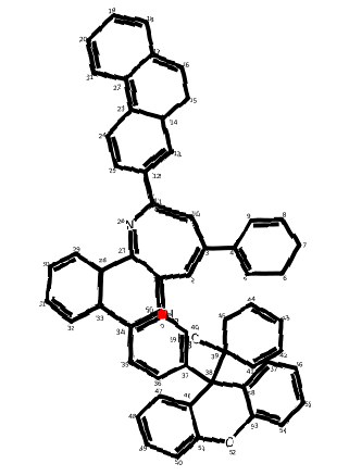 C=C1C=C(C2=CCCC=C2)C=C(C2=CC3CC=c4ccccc4=C3C=C2)N=C1C1C=CC=CC1c1ccc(C2(C3(C)C=CC=CC3)c3ccccc3Oc3ccccc32)cc1